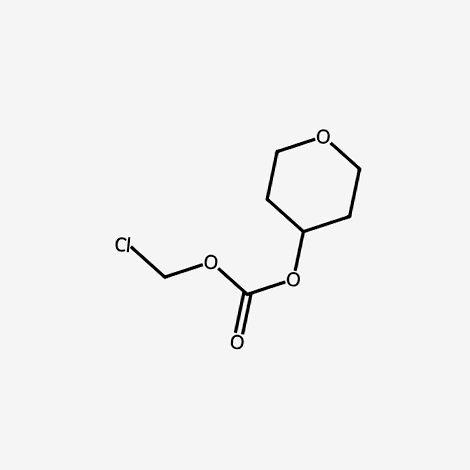 O=C(OCCl)OC1CCOCC1